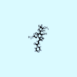 CC(C)Cn1c(=O)c(C(=O)NC(C)C(F)(F)F)c(O)n2ncc(C=CC(=O)N3CCOCC3)c12